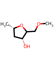 COCC1O[C@@H](C)C[C@H]1O